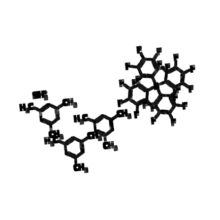 Cc1cc(C)cc(C)c1.Cc1cc(C)cc(C)c1.Cc1cc(C)cc(C)c1.Fc1c(F)c(F)c([B-](c2c(F)c(F)c(F)c(F)c2F)(c2c(F)c(F)c(F)c(F)c2F)c2c(F)c(F)c(F)c(F)c2F)c(F)c1F.[SiH3+]